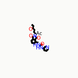 C=CC(=O)CCC(C(C)=O)N1C(=O)c2cccc(CNC(=O)Nc3cccnc3)c2C1=O